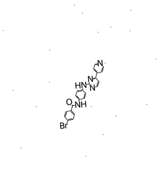 O=C(Nc1ccc(Nc2nccc(-c3ccncc3)n2)cc1)c1ccc(Br)cc1